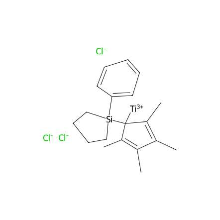 CC1=C(C)[C]([Ti+3])([Si]2(c3ccccc3)CCCC2)C(C)=C1C.[Cl-].[Cl-].[Cl-]